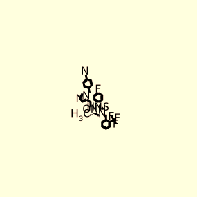 CC[C@@H](CN(Cc1ccccc1C(F)(F)F)C(=S)Nc1ccc(F)cc1)NC(=O)Cc1cncn1Cc1ccc(C#N)cc1